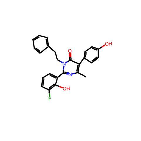 Cc1nc(-c2cccc(F)c2O)n(CCc2ccccc2)c(=O)c1-c1ccc(O)cc1